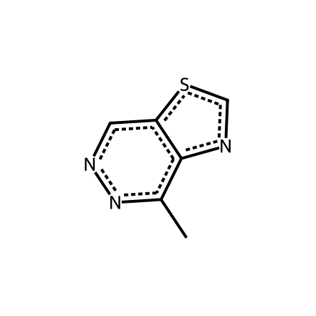 Cc1nncc2scnc12